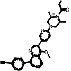 COc1c(-c2ccc(N3CC(C)N(C(=O)CO)[C@H](C)C3)nc2)cnc2c(-c3ccc(C#N)cc3)cccc12